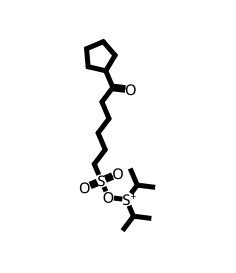 CC(C)[S+](OS(=O)(=O)CCCCCC(=O)C1CCCC1)C(C)C